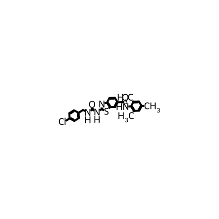 Cc1cc(C)c(NC(=O)c2ccc3nc(NC(=O)NCc4ccc(Cl)cc4)sc3c2)c(C)c1